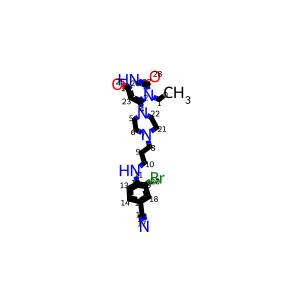 CCn1c(N2CCN(CCCNc3ccc(C#N)cc3Br)CC2)cc(=O)[nH]c1=O